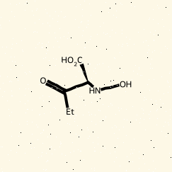 CCC(=O)[C@H](NO)C(=O)O